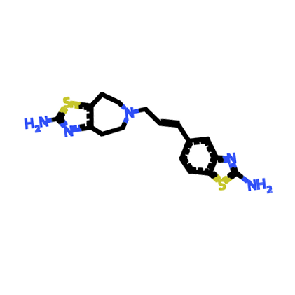 Nc1nc2c(s1)CCN(CC=Cc1ccc3sc(N)nc3c1)CC2